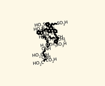 CN(CCC(=O)N[C@@H](Cc1ccccc1)C(=O)N[C@@H](Cc1ccc(OC2=C(/C=C/C3=[N+](CCCCS(=O)(=O)O)c4ccc(S(=O)(=O)O)cc4C3(C)C)CCC/C2=C\C=C2\N(CCCCS(=O)(=O)O)c3ccc(S(=O)(=O)O)cc3C2(C)C)cc1)C(=O)O)CC[N+](C)(C)CCNC(=O)CC[C@H](NC(=O)N[C@@H](CCC(=O)O)C(=O)O)C(=O)O